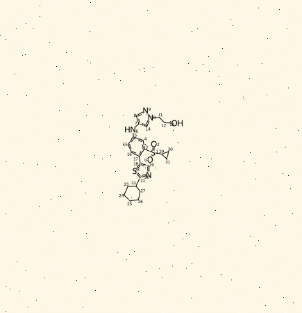 O=S(=O)(c1cc(Nc2cnn(CCO)c2)ccc1-c1cnc(C2CCCCC2)s1)C1CC1